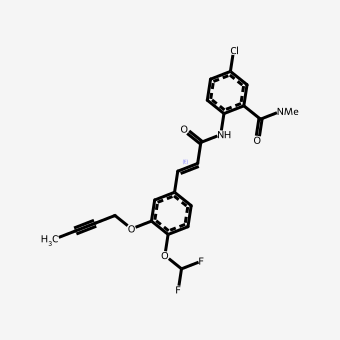 CC#CCOc1cc(/C=C/C(=O)Nc2ccc(Cl)cc2C(=O)NC)ccc1OC(F)F